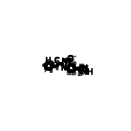 CC(Cc1ccccc1)c1nc2ccc(-c3cn[nH]c3)cc2[n+]([O-])n1